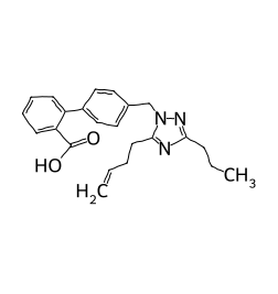 C=CCCc1nc(CCC)nn1Cc1ccc(-c2ccccc2C(=O)O)cc1